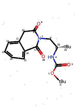 CC(C)(C)OC(=O)N[C@H](CN1C(=O)Cc2ccccc2C1=O)C(C)(C)C